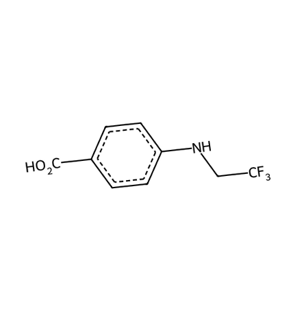 O=C(O)c1ccc(NCC(F)(F)F)cc1